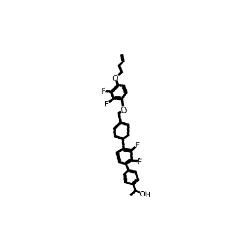 C=CCCOc1ccc(OCC2CCC(c3ccc(-c4ccc(C(C)O)cc4)c(F)c3F)CC2)c(F)c1F